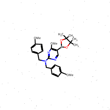 COc1ccc(CN(Cc2ccc(OC)cc2)c2ncc(B3OC(C)(C)C(C)(C)O3)c(OC)n2)cc1